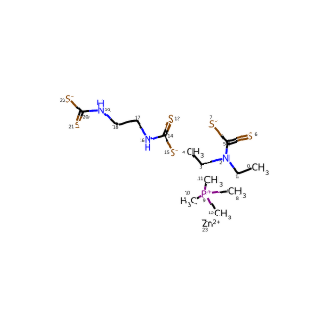 CCN(CC)C(=S)[S-].C[P+](C)(C)C.S=C([S-])NCCNC(=S)[S-].[Zn+2]